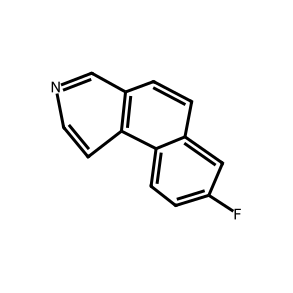 Fc1ccc2c(ccc3cnccc32)c1